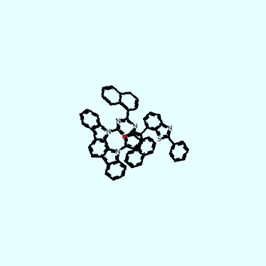 C1=CC2=C(c3nc(-c4cccc5ccccc45)nc(-n4c5ccccc5c5ccc6c7ccccc7n(-c7ccc(-c8cccc9nc(-c%10ccccc%10)sc89)cc7)c6c54)n3)C=CCC2C=C1